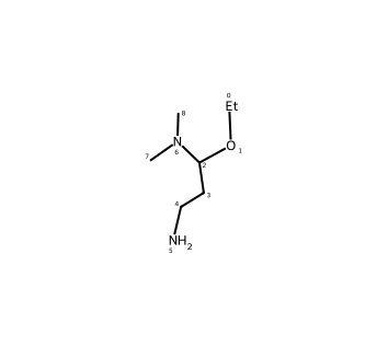 CCOC(CCN)N(C)C